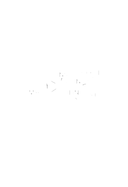 COc1c(C)cc(C2=NO[C@]3(C2)C[C@@H](C(=O)O)N(C(=O)[C@@H](NC(=O)CC2CCCCC2)C(C)(C)C)C3)cc1C